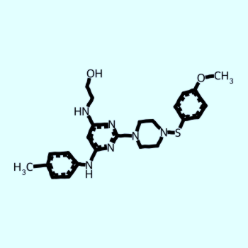 COc1ccc(SN2CCN(c3nc(NCCO)cc(Nc4ccc(C)cc4)n3)CC2)cc1